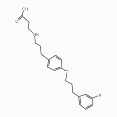 O=C(O)CCNCCCc1ccc(OCCCc2cccc(Br)c2)cc1